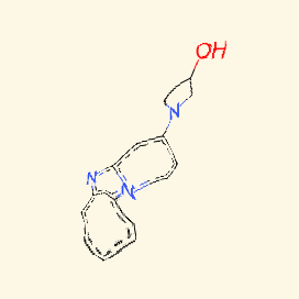 OC1CN(c2ccn3c(c2)nc2ccccc23)C1